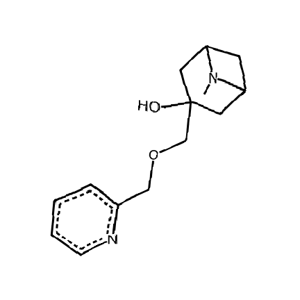 CN1C2CC1CC(O)(COCc1ccccn1)C2